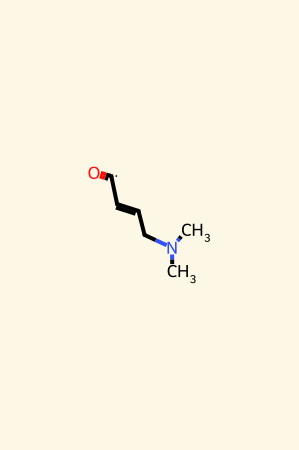 CN(C)CC=C[C]=O